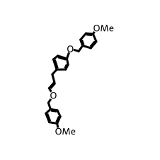 COc1ccc(COC=CCc2ccc(OCc3ccc(OC)cc3)cc2)cc1